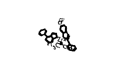 C[C](C)=[Zr+2]([CH]1C=Cc2c(-c3ccccc3)cccc21)[CH]1C(c2ccccc2)=Cc2ccccc21.[Cl-].[Cl-]